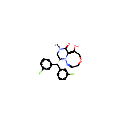 CC(C)N1C[C@@H](C(c2cccc(F)c2)c2cccc(F)c2)N2/N=C\COC/C(O)=C\2C1=O